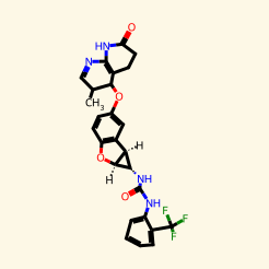 CC1C=NC2=C(CCC(=O)N2)C1Oc1ccc2c(c1)[C@H]1[C@H](NC(=O)Nc3ccccc3C(F)(F)F)[C@H]1O2